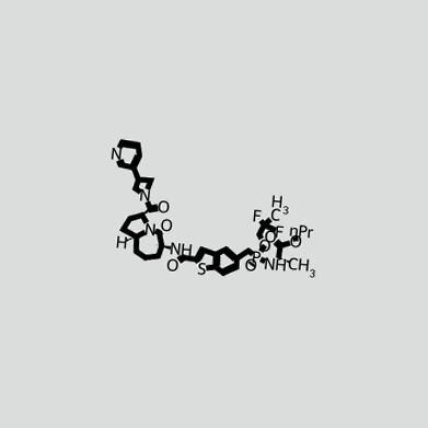 CCCOC(=O)[C@H](C)NP(=O)(Cc1ccc2sc(C(=O)N[C@H]3CCC[C@H]4CC[C@@H](C(=O)N5CC(c6cccnc6)C5)N4C3=O)cc2c1)OCC(C)(F)F